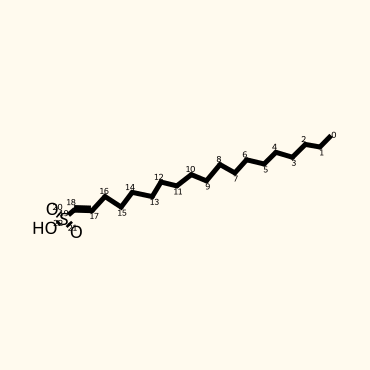 CCCCCCCCCCCCCCCCC/C=C/S(=O)(=O)O